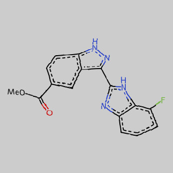 COC(=O)c1ccc2[nH]nc(-c3nc4cccc(F)c4[nH]3)c2c1